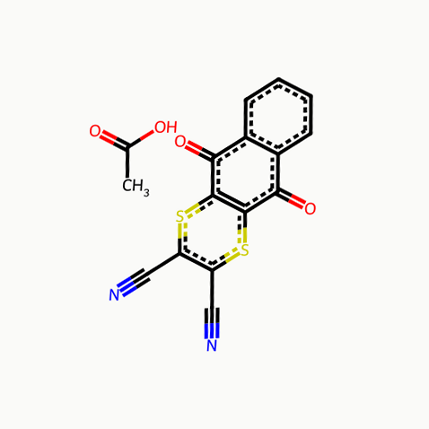 CC(=O)O.N#Cc1sc2c(=O)c3ccccc3c(=O)c=2sc1C#N